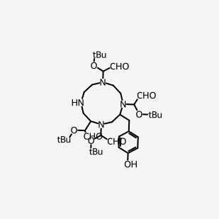 CC(C)(C)OC(C=O)C1CNCCN(C(C=O)OC(C)(C)C)CCN(C(C=O)OC(C)(C)C)C(Cc2ccc(O)cc2)CN1C(C=O)OC(C)(C)C